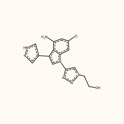 Nc1cc(Cl)cc2c1c(-c1cn[nH]c1)cn2-c1cn(CCO)nn1